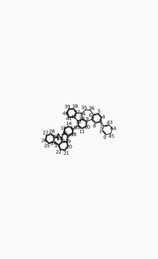 C1=CC(c2ccc3c(c2)-c2ccc(-c4ccc5c(c4)c4cccc6c7ccccc7n5c64)c4c2C(CC3)c2ccccc2-4)=CCC1